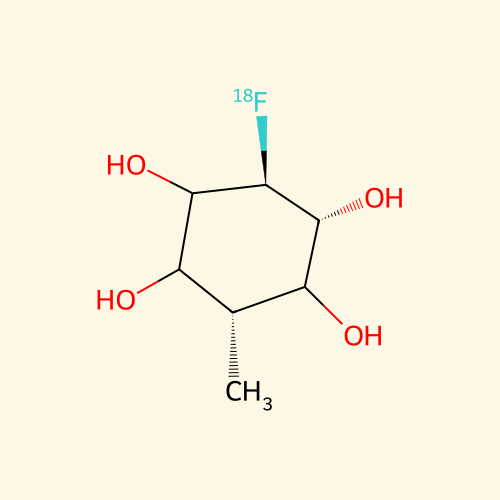 C[C@@H]1C(O)C(O)[C@@H]([18F])[C@H](O)C1O